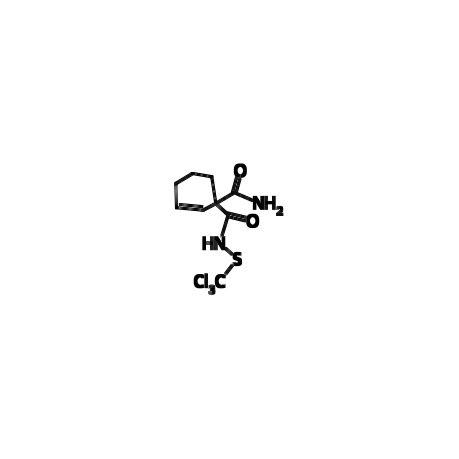 NC(=O)C1(C(=O)NSC(Cl)(Cl)Cl)C=CCCC1